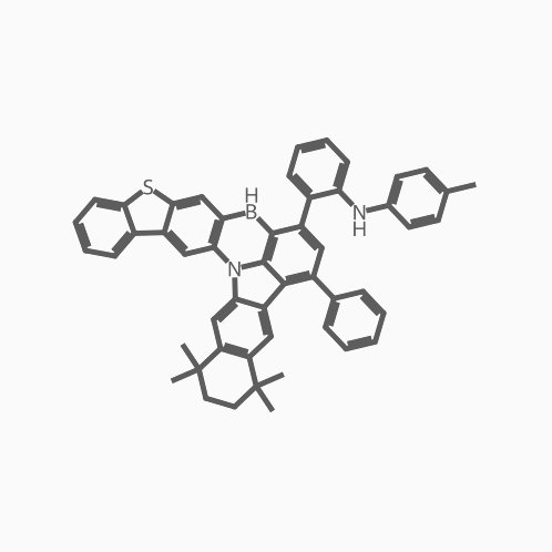 Cc1ccc(Nc2ccccc2-c2cc(-c3ccccc3)c3c4cc5c(cc4n4c3c2Bc2cc3sc6ccccc6c3cc2-4)C(C)(C)CCC5(C)C)cc1